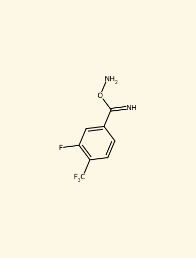 N=C(ON)c1ccc(C(F)(F)F)c(F)c1